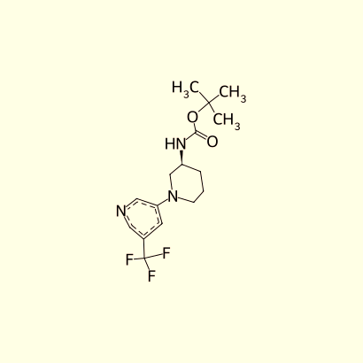 CC(C)(C)OC(=O)N[C@H]1CCCN(c2cncc(C(F)(F)F)c2)C1